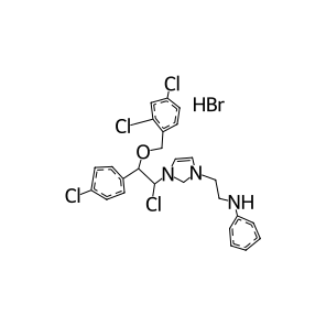 Br.Clc1ccc(C(OCc2ccc(Cl)cc2Cl)C(Cl)N2C=CN(CCNc3ccccc3)C2)cc1